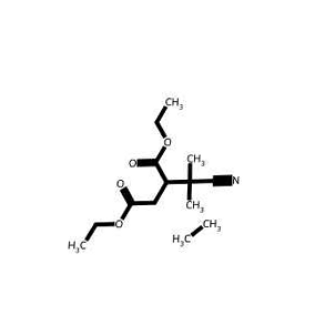 CC.CCOC(=O)CC(C(=O)OCC)C(C)(C)C#N